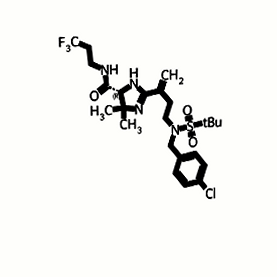 C=C(CCN(Cc1ccc(Cl)cc1)S(=O)(=O)C(C)(C)C)C1=NC(C)(C)[C@H](C(=O)NCCC(F)(F)F)N1